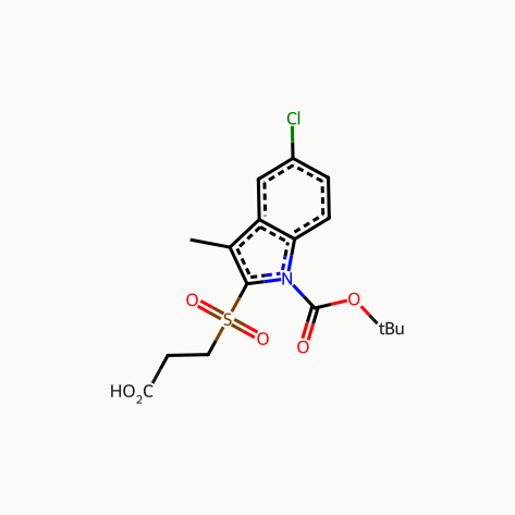 Cc1c(S(=O)(=O)CCC(=O)O)n(C(=O)OC(C)(C)C)c2ccc(Cl)cc12